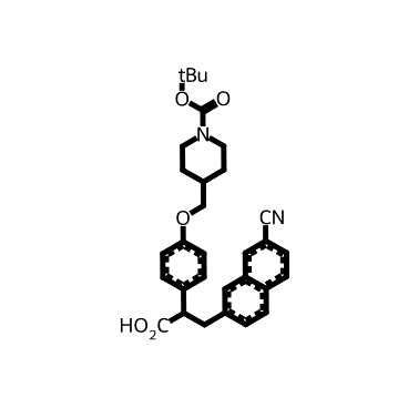 CC(C)(C)OC(=O)N1CCC(COc2ccc(C(Cc3ccc4ccc(C#N)cc4c3)C(=O)O)cc2)CC1